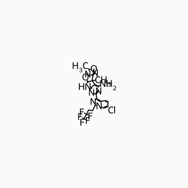 Cc1nc(C2(C)C(=O)Nc3nc(-c4nc(CCC(F)(F)C(F)(F)F)n5cc(Cl)ccc45)nc(N)c32)no1